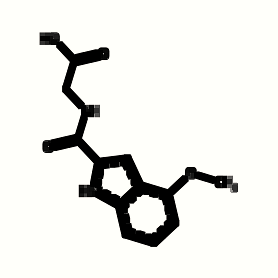 COc1cccc2[nH]c(C(=O)NCC(=O)O)cc12